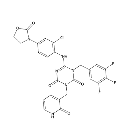 O=C1OCCN1c1ccc(Nc2nc(=O)n(Cc3ccc[nH]c3=O)c(=O)n2Cc2cc(F)c(F)c(F)c2)c(Cl)c1